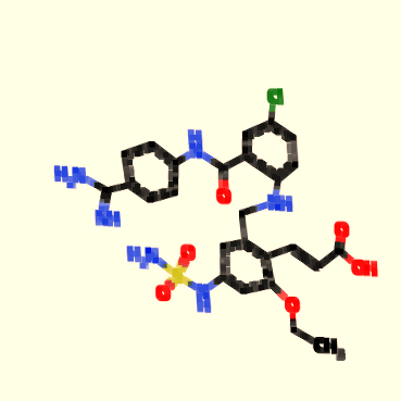 CCOc1cc(NS(N)(=O)=O)cc(CNc2ccc(Cl)cc2C(=O)Nc2ccc(C(=N)N)cc2)c1/C=C/C(=O)O